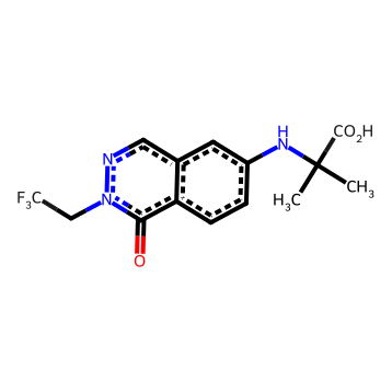 CC(C)(Nc1ccc2c(=O)n(CC(F)(F)F)ncc2c1)C(=O)O